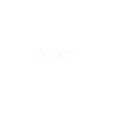 COC(=O)c1ccc(N2CCN(Cc3ccccc3)[C@H](C)C2)c(I)c1